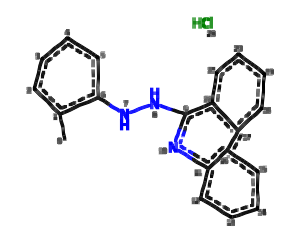 Cc1ccccc1NNc1nc2ccccc2c2ccccc12.Cl